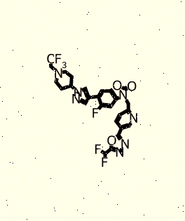 O=c1oc2cc(-c3cnn(C4CCN(CC(F)(F)F)CC4)c3)c(F)cc2n1Cc1ccc(-c2nnc(C(F)F)o2)cn1